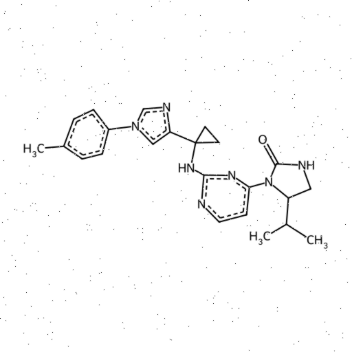 Cc1ccc(-n2cnc(C3(Nc4nccc(N5C(=O)NCC5C(C)C)n4)CC3)c2)cc1